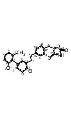 Cc1cccc(C)c1-c1ccc(Cl)c(COc2ccc(Cn3oc(=O)[nH]c3=O)cc2)c1